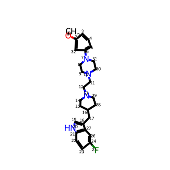 COc1cccc(N2CCN(CCN3CCC(Cc4c[nH]c5ccc(F)cc45)CC3)CC2)c1